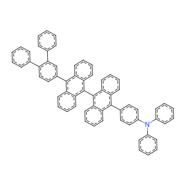 c1ccc(-c2ccc(-c3c4ccccc4c(-c4c5ccccc5c(-c5ccc(N(c6ccccc6)c6ccccc6)cc5)c5ccccc45)c4ccccc34)cc2-c2ccccc2)cc1